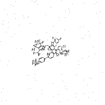 Cn1nc(NS(C)(=O)=O)c2c(Cl)ccc(-n3c([C@H](Cc4cc(F)cc(F)c4)NC(=O)Cn4nc(C(F)F)c5c4C(F)(F)[C@@H]4C[C@H]54)nc4nc(-c5ccc(S(F)(F)(F)(F)F)cc5)ccc4c3=O)c21